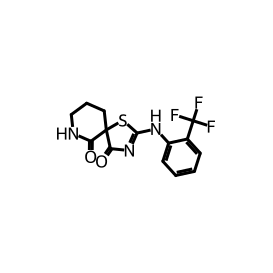 O=C1N=C(Nc2ccccc2C(F)(F)F)SC12CCCNC2=O